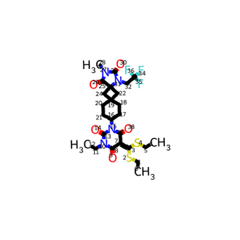 CCSC(SCC)=C1C(=O)N(CC)C(=O)N(C2CCC3(CC2)CC2(C3)C(=O)N(C)C(=O)N2CC(F)(F)F)C1=O